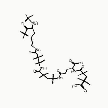 CC(C)(C)N[C@@H](CCCCNC(=O)C(C)(C)C(C)(C)NC(=O)C(C)(C)CC(C)(C)NC(=O)CC[C@H](NC(=O)C(C)(C)CC(C)(C)C(=O)O)C(=O)O)C(=O)C(C)(C)C